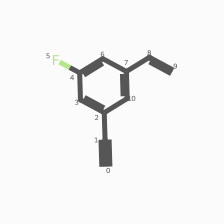 C#Cc1cc(F)cc([C]=C)c1